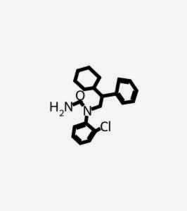 NC(=O)N(CC(c1ccccc1)C1CCCCC1)c1ccccc1Cl